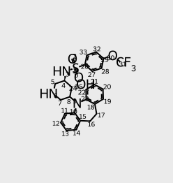 O=S(=O)(N[C@@H]1CNCC(N2c3ccccc3CCc3ccccc32)[C@H]1O)c1ccc(OC(F)(F)F)cc1